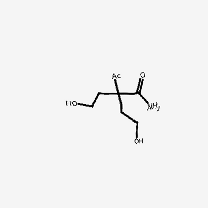 CC(=O)C(CCO)(CCO)C(N)=O